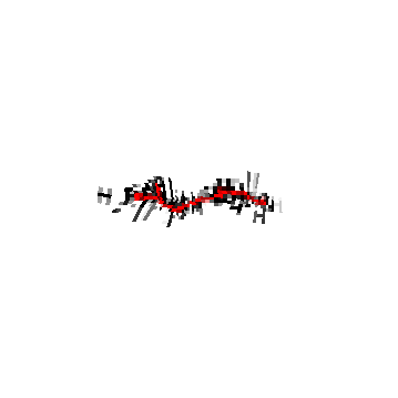 O=C(CCS)NCCCCCCNC(=O)CCCCCNC(=O)CCN1C(=O)CC(SCCC(=O)NCCCCCCNC(=O)CCCCCNC(=O)CCN2C(=O)CC(SCCC(=O)NCCCCCCNC(=O)[C@H](CCCCNC(=O)CCN3C(=O)CC(P)C3=O)NC(=O)CCN3C(=O)CC(P)C3=O)C2=O)C1=O